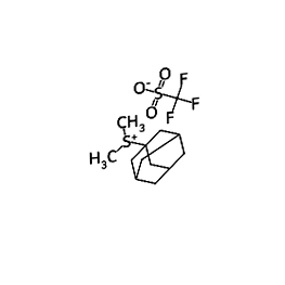 C[S+](C)C12CC3CC(CC(C3)C1)C2.O=S(=O)([O-])C(F)(F)F